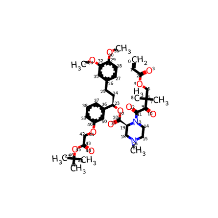 C=CC(=O)OCC(C)(C)C(=O)C(=O)N1CCN(C)C[C@H]1C(=O)O[C@H](CCc1ccc(OC)c(OC)c1)c1cccc(OCC(=O)OC(C)(C)C)c1